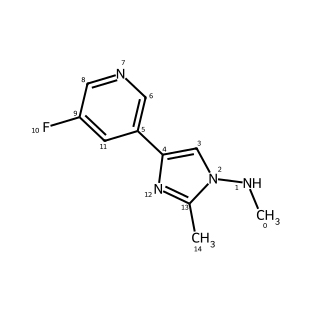 CNn1cc(-c2cncc(F)c2)nc1C